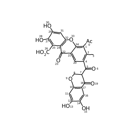 CC(=O)c1c(C)c(C(=O)C2COc3cc(O)c(O)cc3C2=O)cc2c(=O)c3c(C(=O)O)c(O)c(O)cc3oc12